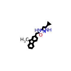 CC1c2ccccc2-c2ccc(CC(=O)Nc3cc(C4CC4)[nH]n3)cc21